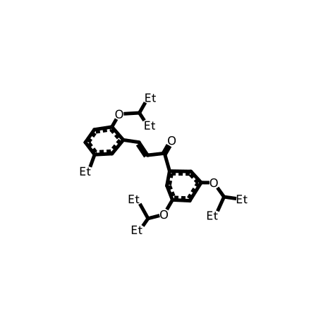 CCc1ccc(OC(CC)CC)c(C=CC(=O)c2cc(OC(CC)CC)cc(OC(CC)CC)c2)c1